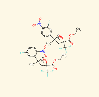 CCOC(=O)C(O)(CC(C)(C)c1cc(F)ccc1[N+](=O)[O-])C(F)(F)F.CCOC(=O)C(O)(CC(C)(C)c1ccc([N+](=O)[O-])c(F)c1)C(F)(F)F